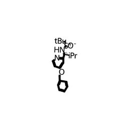 CC(C)[C@H](N[S+]([O-])C(C)(C)C)c1cc(OCc2ccccc2)ccn1